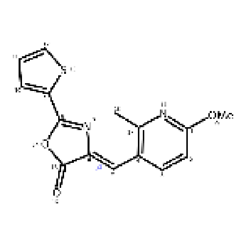 COc1ccc(/C=C2\N=C(c3cccs3)OC2=O)c(C)n1